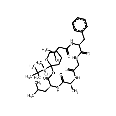 CC(C)C[C@H](NC(=O)[C@H](C)NC(=O)CNC(=O)[C@H](Cc1ccccc1)NC(=O)CC(C)O)C(=O)OC1([Si](C)(C)C(C)(C)C)CCCCO1